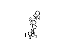 CCN(CC)C1C=c2oc(=O)c(-c3nc4ccccc4s3)cc2=CC1